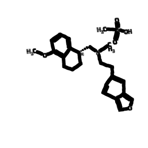 COc1cccc2c1CCC[C@H]2CN(C)CCc1ccc2cocc2c1.CS(=O)(=O)O